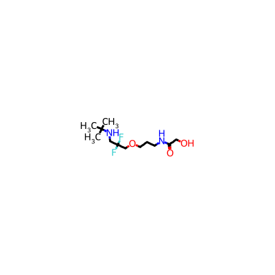 CC(C)(C)NCC(F)(F)COCCCNC(=O)CO